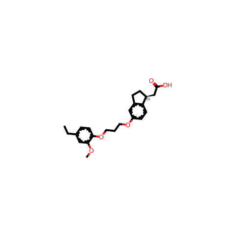 CCc1ccc(OCCCOc2ccc3c(c2)CC[C@H]3CC(=O)O)c(OC)c1